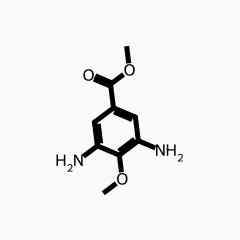 COC(=O)c1cc(N)c(OC)c(N)c1